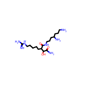 N=C(N)NCCCCCC(C(=O)NCCCC(N)CCCN)C(O)C(N)=O